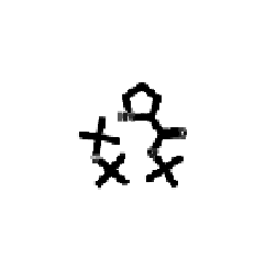 CC(C)(C)OC(=O)C1CCCN1.CC(C)(C)OC(C)(C)C